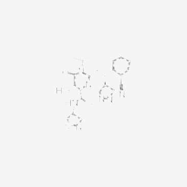 CC(C)n1c([C@H](C)[C@H](c2cnn(C)c2)c2ccccc2C#N)nc(C(=O)Nc2cnoc2)c(O)c1=O